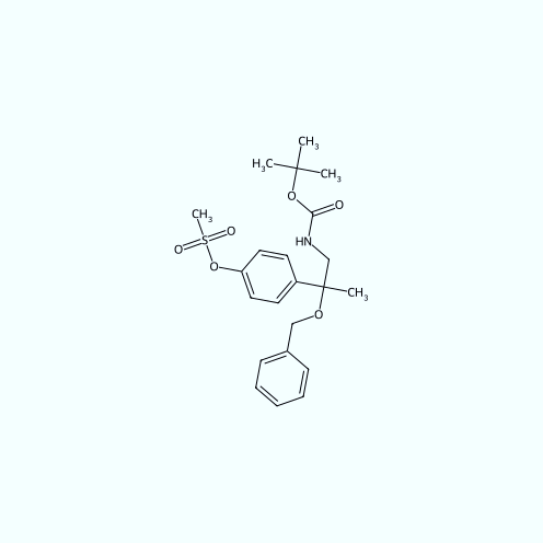 CC(C)(C)OC(=O)NCC(C)(OCc1ccccc1)c1ccc(OS(C)(=O)=O)cc1